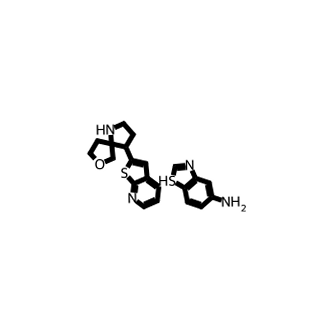 Nc1ccc2c(c1)N=C[SH]2c1ccnc2sc(C3CCNC34CCOC4)cc12